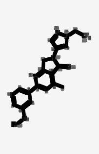 Cc1cc(-c2cncc(OC(C)C)c2)nc2c1C(=O)N(c1cnn(CC(F)(F)F)c1)C2